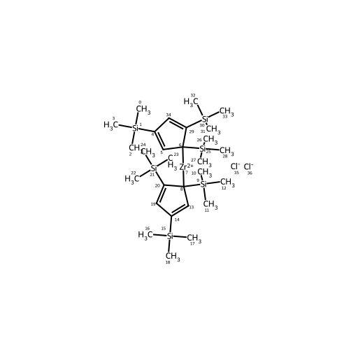 C[Si](C)(C)C1=C[C]([Zr+2][C]2([Si](C)(C)C)C=C([Si](C)(C)C)C=C2[Si](C)(C)C)([Si](C)(C)C)C([Si](C)(C)C)=C1.[Cl-].[Cl-]